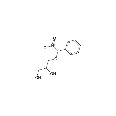 O=[N+]([O-])C(OCC(O)CO)c1ccccc1